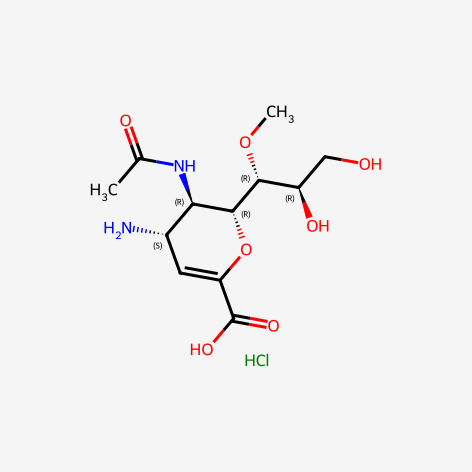 CO[C@@H]([C@@H]1OC(C(=O)O)=C[C@H](N)[C@H]1NC(C)=O)[C@H](O)CO.Cl